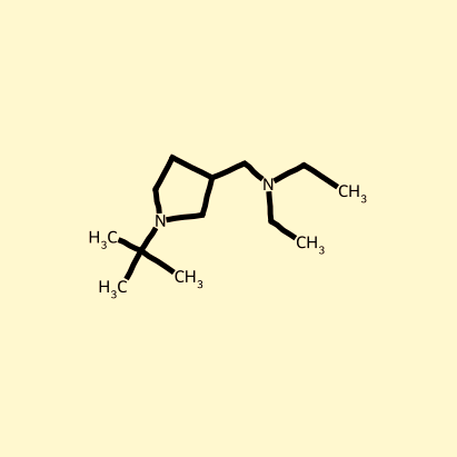 CCN(CC)CC1CCN(C(C)(C)C)C1